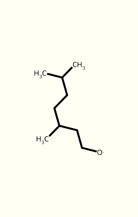 CC(C)CCC(C)CC[O]